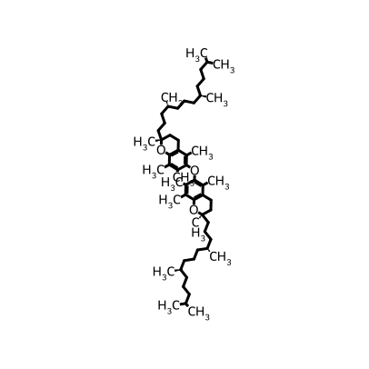 Cc1c(C)c2c(c(C)c1Oc1c(C)c(C)c3c(c1C)CC[C@@](C)(CCC[C@H](C)CCC[C@H](C)CCCC(C)C)O3)CC[C@@](C)(CCC[C@H](C)CCC[C@H](C)CCCC(C)C)O2